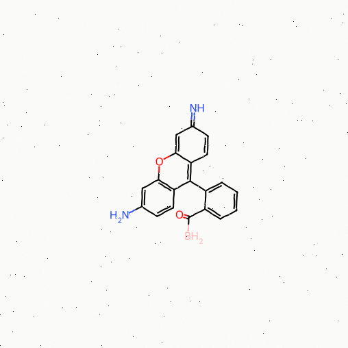 BC(=O)c1ccccc1-c1c2ccc(=N)cc-2oc2cc(N)ccc12